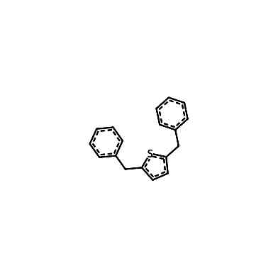 c1ccc(Cc2ccc(Cc3ccccc3)s2)cc1